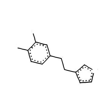 Fc1cc(CCc2[c]scc2)ccc1Cl